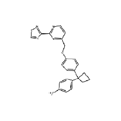 Cc1ccc(C2(c3ccc(OCc4ccnc(-c5ncsn5)n4)cc3)CCC2)cc1